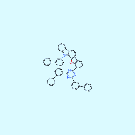 c1ccc(-c2cccc(-c3nc(-c4cccc(-c5ccccc5)c4)nc(-c4cccc5c4oc4c5ccc5c6ccccc6n(-c6cccc(-c7ccccc7)c6)c54)n3)c2)cc1